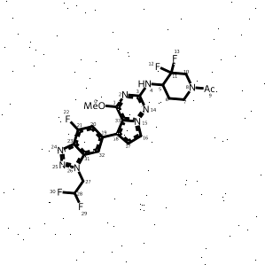 COc1nc(NC2CCN(C(C)=O)CC2(F)F)nn2ccc(-c3cc(F)c4nnn(CC(F)F)c4c3)c12